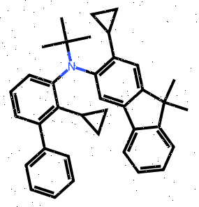 CC1(C)c2ccccc2-c2cc(N(c3cccc(-c4ccccc4)c3C3CC3)C(C)(C)C)c(C3CC3)cc21